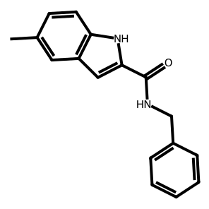 Cc1ccc2[nH]c(C(=O)NCc3ccccc3)cc2c1